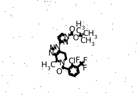 CC1c2nnn(-c3ccn(C(=O)OC(C)(C)C)n3)c2CCN1C(=O)c1cccc(C(F)(F)F)c1Cl